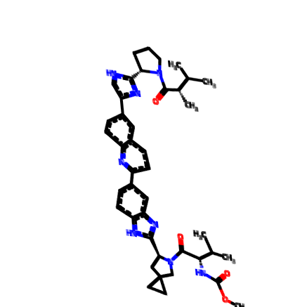 COC(=O)N[C@H](C(=O)N1CC2(CC2)C[C@H]1c1nc2cc(-c3ccc4cc(-c5c[nH]c([C@@H]6CCCN6C(=O)[C@@H](C)C(C)C)n5)ccc4n3)ccc2[nH]1)C(C)C